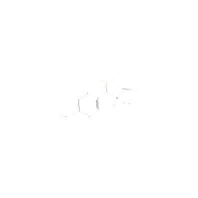 COc1ccc(C(O)C(O)(C=O)CO)cc1